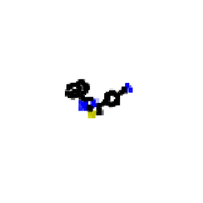 N#Cc1ccc(-c2csc3nc(C45CC6CC(CC(C6)C4)C5)cn23)cc1